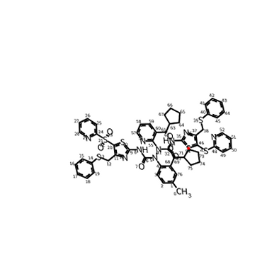 Cc1ccc(N(C(=O)Nc2nc(CSc3ccccc3)c(S(=O)(=O)c3ccccn3)s2)N(C(=O)Nc2nc(CSc3ccccc3)c(Sc3ccccn3)s2)c2ncccc2C(=O)C2CCCC2)c(C(=O)C2CCCC2)c1